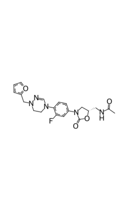 CC(=O)NC[C@H]1CN(c2ccc(N3C=NN(Cc4ccco4)CC3)c(F)c2)C(=O)O1